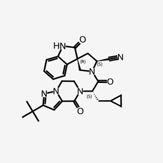 CC(C)(C)c1cc2n(n1)CCN([C@@H](CC1CC1)C(=O)N1C[C@]3(C[C@H]1C#N)C(=O)Nc1ccccc13)C2=O